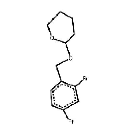 CCc1ccc(COC2CCCCO2)c(Br)c1